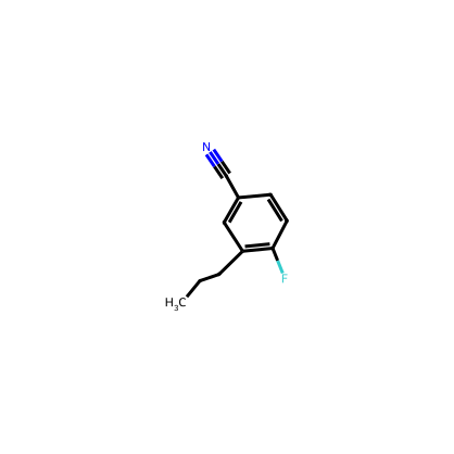 CCCc1cc(C#N)ccc1F